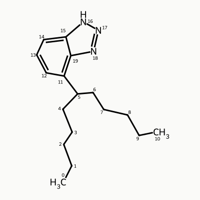 CCCCCC(CCCCC)c1cccc2[nH]nnc12